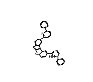 C1=CC(c2ccccc2)NC(C2=CC3c4c(sc5ccc(-c6cccc(-c7ccccc7)n6)cc45)OC3C=C2)=C1